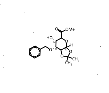 COC(=O)C1O[C@@H]2OC(C)(C)OC2[C@H](OCc2ccccc2)[C@@H]1O